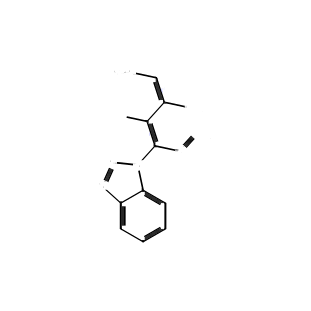 C=N/C(=C(\C(C)=C/NC)C(F)(F)F)n1nnc2ccccc21